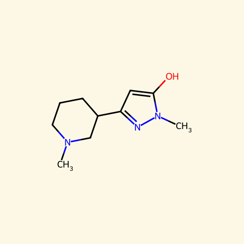 CN1CCCC(c2cc(O)n(C)n2)C1